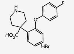 Br.O=C(O)C1(c2ccccc2Oc2ccc(F)cc2)CCNCC1